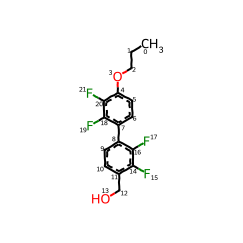 CCCOc1ccc(-c2ccc(CO)c(F)c2F)c(F)c1F